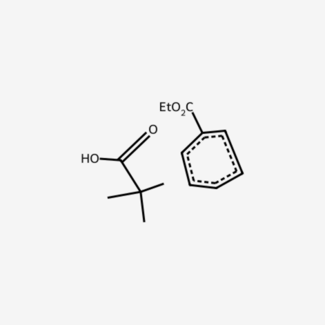 CC(C)(C)C(=O)O.CCOC(=O)c1ccccc1